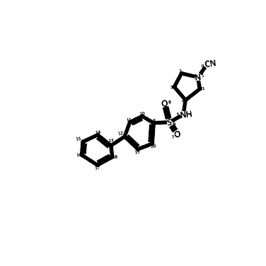 N#CN1CCC(NS(=O)(=O)c2ccc(-c3ccccc3)cc2)C1